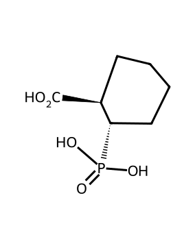 O=C(O)[C@H]1CCCC[C@@H]1P(=O)(O)O